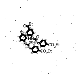 CCOC(=O)c1ccc(NC(=O)Nc2ccc(C(=O)CC)cc2)cc1.CCOC(=O)c1ccc(NC(=O)Nc2ccc(C(C)=O)cc2)cc1